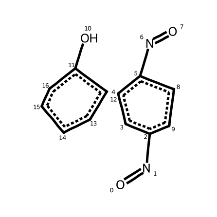 O=Nc1ccc(N=O)cc1.Oc1ccccc1